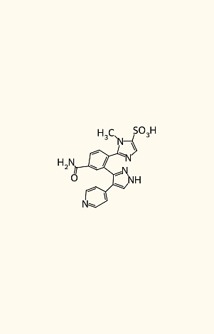 Cn1c(S(=O)(=O)O)cnc1-c1ccc(C(N)=O)cc1-c1n[nH]cc1-c1ccncc1